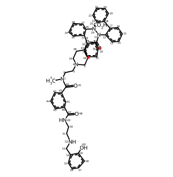 CN(CCN1CCC(OC(=O)N(c2ccccc2-c2ccccc2)N(C(=O)O)c2ccccc2-c2ccccc2)CC1)C(=O)c1cccc(C(=O)NCCNCc2ccccc2O)c1